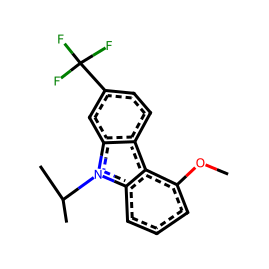 COc1cccc2c1c1ccc(C(F)(F)F)cc1n2C(C)C